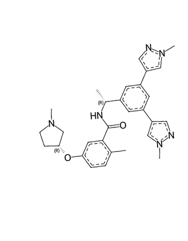 Cc1ccc(O[C@@H]2CCN(C)C2)cc1C(=O)N[C@H](C)c1cc(-c2cnn(C)c2)cc(-c2cnn(C)c2)c1